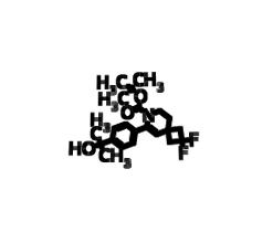 CC(C)(C)OC(=O)N1CCC2(C=C1c1ccc(C(C)(C)O)cc1)CC(F)(F)C2